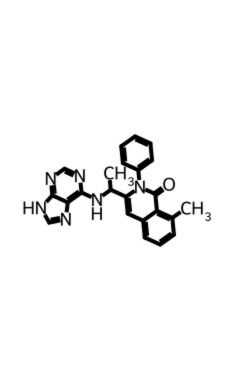 Cc1cccc2cc(C(C)Nc3ncnc4[nH]cnc34)n(-c3ccccc3)c(=O)c12